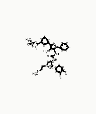 COCCN1C[C@@H](NC(=O)Nc2c(C)c(-c3cccc(CN=S(C)(C)=O)c3)nn2-c2ccccc2)[C@H](c2ccc(F)c(F)c2)O1